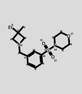 CCC1(C)CN(Cc2cccc(S(=O)(=O)N3CCOCC3)c2)C1